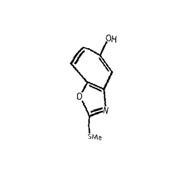 CSc1nc2cc(O)ccc2o1